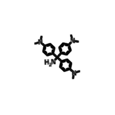 CN(C)c1ccc(C(N)(c2ccc(N(C)C)cc2)c2ccc(N(C)C)cc2)cc1